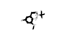 COc1cc(F)cc(/C=N\[S@@+]([O-])C(C)(C)C)c1